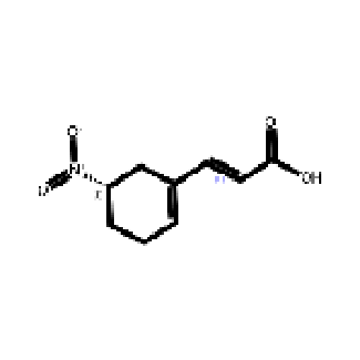 O=C(O)/C=C/C1=CCC[C@H]([N+](=O)[O-])C1